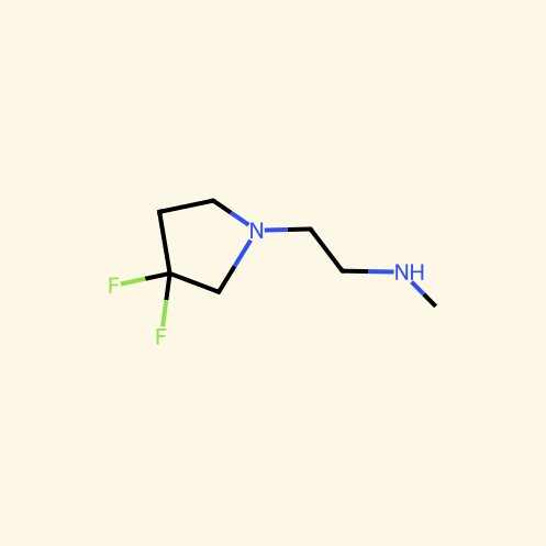 CNCCN1CCC(F)(F)C1